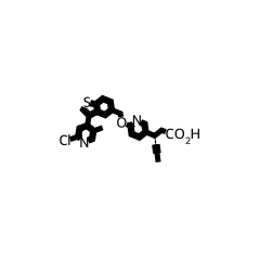 CC#C[C@@H](CC(=O)O)c1ccc(OCc2ccc3scc(-c4cc(Cl)ncc4C)c3c2)nc1